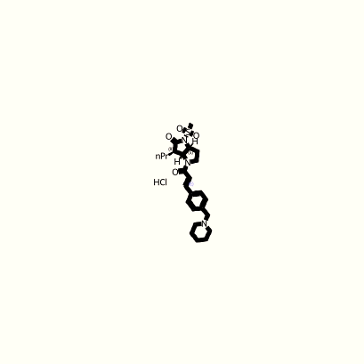 CCC[C@H]1C(=O)N(S(C)(=O)=O)[C@H]2CCN(C(=O)/C=C/c3ccc(CN4CCCCC4)cc3)[C@H]12.Cl